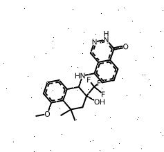 COc1cccc2c1C(C)(C)CC(O)(C(F)(F)F)C2Nc1cccc2c(=O)[nH]ncc12